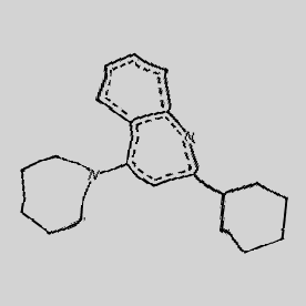 [CH]1CCCCN1c1cc(C2CCCCC2)nc2ccccc12